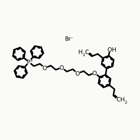 C=CCc1ccc(OCCOCCOCCOCC[P+](c2ccccc2)(c2ccccc2)c2ccccc2)c(-c2ccc(O)c(CC=C)c2)c1.[Br-]